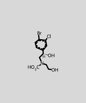 O=C(O)N(CCO)C[C@@H](O)c1ccc(Br)c(Cl)c1